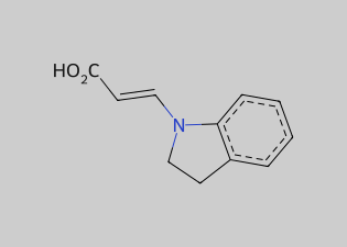 O=C(O)C=CN1CCc2ccccc21